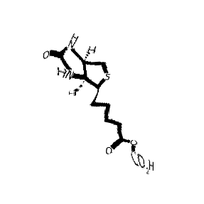 O=C1N[C@H]2[C@H](CS[C@H]2CCCCC(=O)OC(=O)O)N1